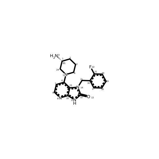 N[C@@H]1CCCN(c2ccnc3[nH]c(=O)n(Cc4ccccc4F)c23)C1